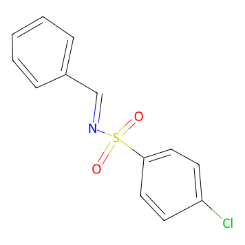 O=S(=O)(N=Cc1ccccc1)c1ccc(Cl)cc1